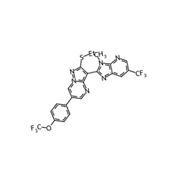 CCSc1nn2cc(-c3ccc(OC(F)(F)F)cc3)cnc2c1-c1nc2cc(C(F)(F)F)cnc2n1C